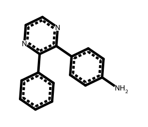 Nc1ccc(-c2nccnc2-c2ccccc2)cc1